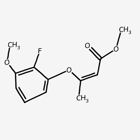 COC(=O)/C=C(/C)Oc1cccc(OC)c1F